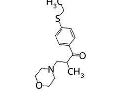 CCSc1ccc(C(=O)C(C)CN2CCOCC2)cc1